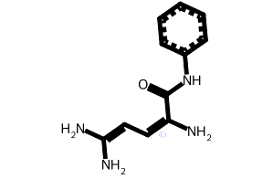 NC(N)=C/C=C(/N)C(=O)Nc1ccccc1